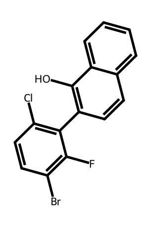 Oc1c(-c2c(Cl)ccc(Br)c2F)ccc2ccccc12